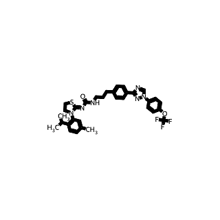 Cc1ccc(C(C)C)c(N2CCS/C2=N\C(=O)NCCCc2ccc(-c3ncn(-c4ccc(OC(F)(F)F)cc4)n3)cc2)c1